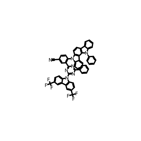 N#Cc1ccc(-n2c3ccccc3c3c2ccc2c4ccccc4n(-c4ccccc4)c23)c(-c2nc(-c3ccccc3)nc(-n3c4ccc(C(F)(F)F)cc4c4cc(C(F)(F)F)ccc43)n2)c1